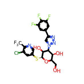 OCC1O[C@H](Sc2cnc(C(F)(F)F)c(Cl)c2)C(O)C(n2cc(-c3cc(F)c(F)c(F)c3)nn2)[C@H]1O